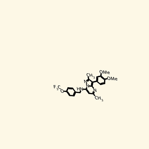 COc1ccc(-c2c(C)nn3c(NCc4ccc(OC(F)(F)F)cc4)cc(C)nc23)cc1OC